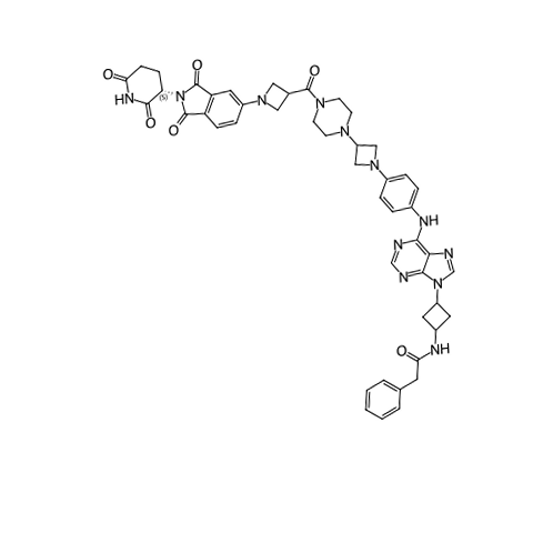 O=C1CC[C@H](N2C(=O)c3ccc(N4CC(C(=O)N5CCN(C6CN(c7ccc(Nc8ncnc9c8ncn9C8CC(NC(=O)Cc9ccccc9)C8)cc7)C6)CC5)C4)cc3C2=O)C(=O)N1